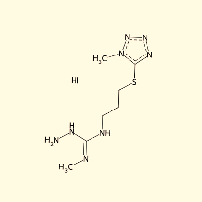 CN=C(NN)NCCCSc1nnnn1C.I